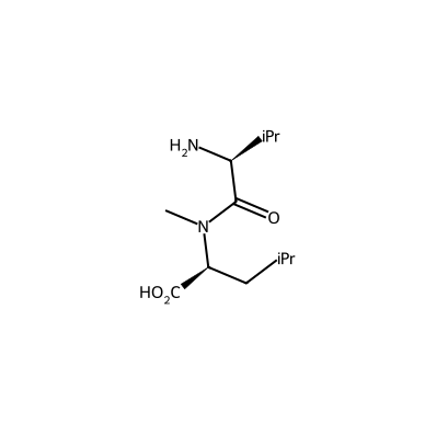 CC(C)C[C@@H](C(=O)O)N(C)C(=O)[C@@H](N)C(C)C